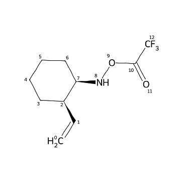 C=C[C@H]1CCCC[C@H]1NOC(=O)C(F)(F)F